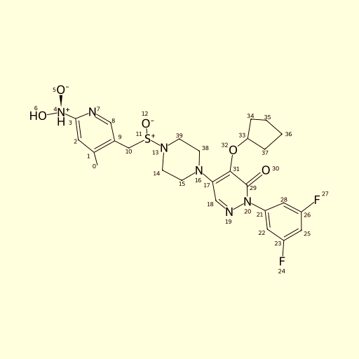 Cc1cc([N@H+]([O-])O)ncc1C[S+]([O-])N1CCN(c2cnn(-c3cc(F)cc(F)c3)c(=O)c2OC2CCCC2)CC1